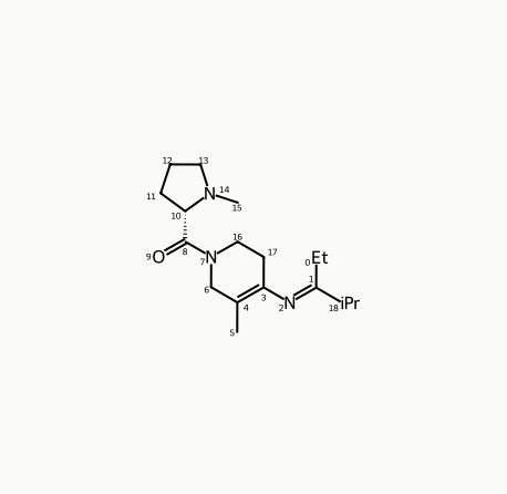 CC/C(=N\C1=C(C)CN(C(=O)[C@@H]2CCCN2C)CC1)C(C)C